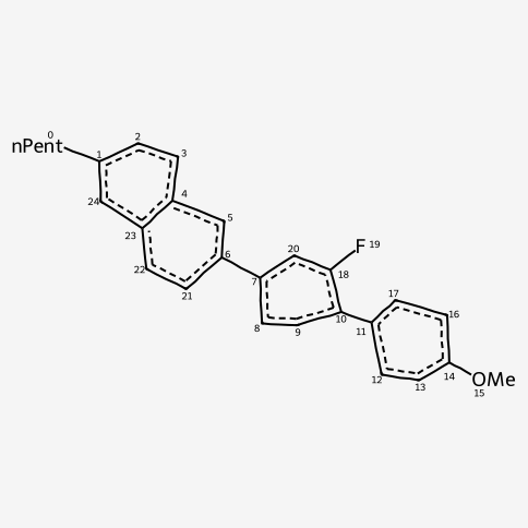 CCCCCc1ccc2cc(-c3ccc(-c4ccc(OC)cc4)c(F)c3)ccc2c1